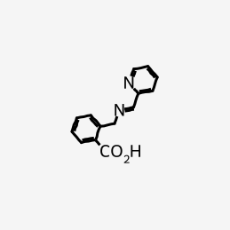 O=C(O)c1ccccc1CN=Cc1ccccn1